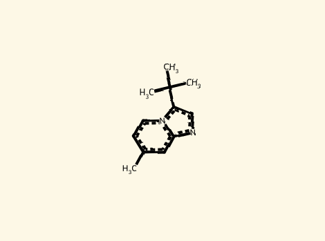 Cc1ccn2c(C(C)(C)C)cnc2c1